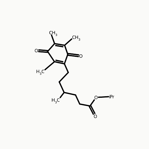 CC1=C(C)C(=O)C(CCC(C)CCC(=O)OC(C)C)=C(C)C1=O